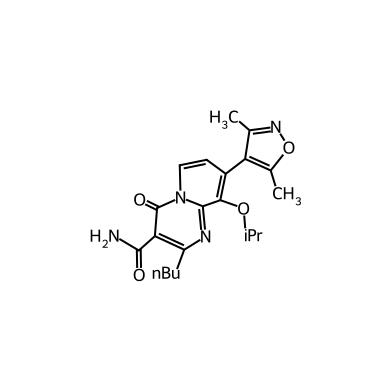 CCCCc1nc2c(OC(C)C)c(-c3c(C)noc3C)ccn2c(=O)c1C(N)=O